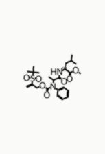 C=C(COC(=O)N(c1ccccc1)C(C)C(=O)N[C@@H](CC(C)C)C(=O)OC)S(=O)(=O)C(C)(C)C